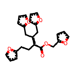 O=C(OCc1ccco1)C(CCc1ccco1)=C(Cc1ccco1)Cc1ccco1